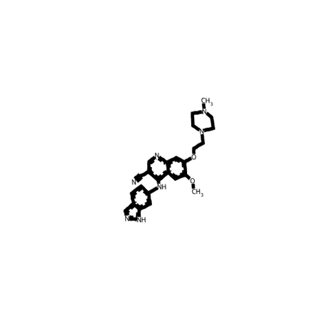 COc1cc2c(Nc3ccc4cn[nH]c4c3)c(C#N)cnc2cc1OCCN1CCN(C)CC1